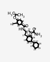 CC(C)Oc1ccc(C(=O)N[C@H](CNC(N)=O)Cc2ccc(-c3ccccc3)cc2)cc1I